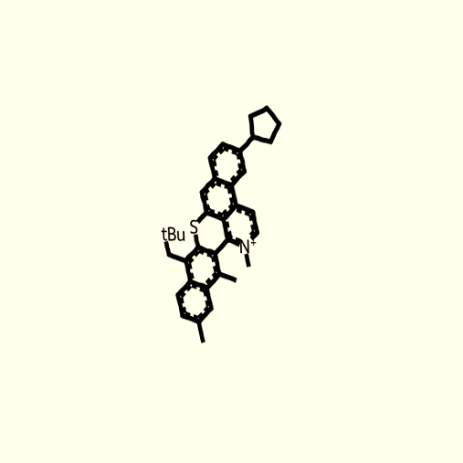 Cc1ccc2c(CC(C)(C)C)c3c(c(C)c2c1)-c1c2c(cc4ccc(C5CCCC5)cc4c2cc[n+]1C)S3